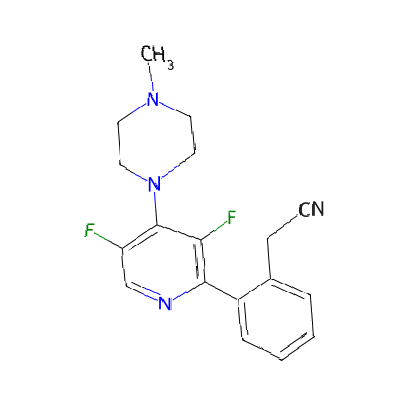 CN1CCN(c2c(F)cnc(-c3ccccc3CC#N)c2F)CC1